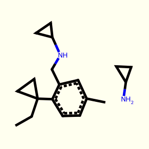 CCC1(c2ccc(C)cc2CNC2CC2)CC1.NC1CC1